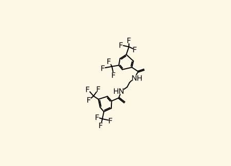 C=C(NCCNC(=C)c1cc(C(F)(F)F)cc(C(F)(F)F)c1)c1cc(C(F)(F)F)cc(C(F)(F)F)c1